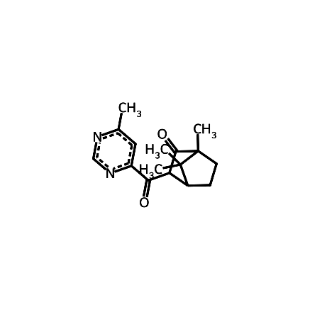 Cc1cc(C(=O)C2C(=O)C3(C)CCC2C3(C)C)ncn1